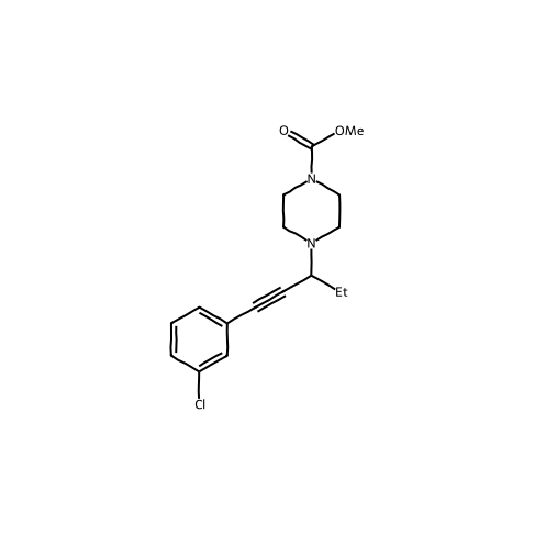 CCC(C#Cc1cccc(Cl)c1)N1CCN(C(=O)OC)CC1